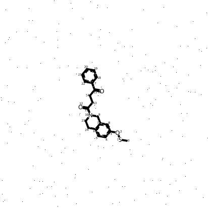 CSOc1ccc2c(c1)CN(C(=O)CCC(=O)c1ccccc1)CC2